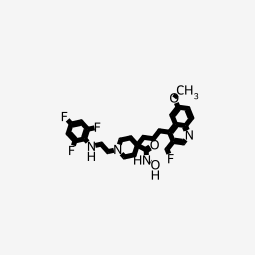 COc1ccc2ncc(CF)c(CCCC3(C(=O)NO)CCN(CCNc4c(F)cc(F)cc4F)CC3)c2c1